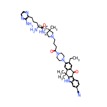 CCc1cc2c(cc1N1CCN(C(=O)CCCN3C[C@H](NC(=O)[C@@H](N)CCCc4nccnc4N)C(C)(C)C3)CC1)C(C)(C)c1[nH]c3cc(C#N)ccc3c1C2=O